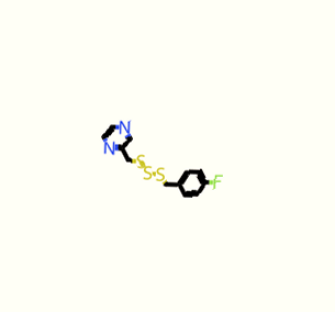 Fc1ccc(CSSSCc2cnccn2)cc1